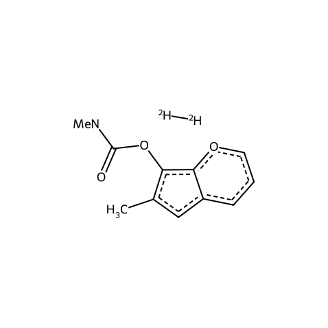 CNC(=O)Oc1c(C)cc2cccoc1-2.[2H][2H]